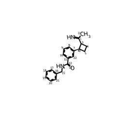 CC(=N)C1CC[C@H]1c1cccc(C(=O)NCc2ccccc2)c1